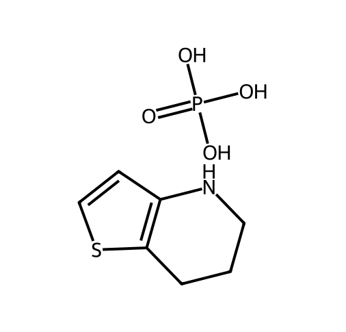 O=P(O)(O)O.c1cc2c(s1)CCCN2